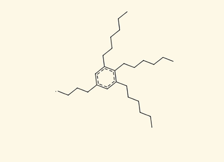 [CH2]CCCc1cc(CCCCCC)c(CCCCCC)c(CCCCCC)c1